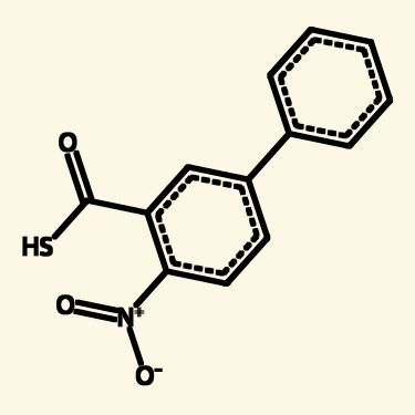 O=C(S)c1cc(-c2ccccc2)ccc1[N+](=O)[O-]